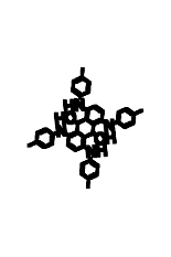 Cc1ccc(Nc2ccc(Nc3ccc(C)cc3)c3c2C(=O)c2c(Nc4ccc(C)cc4)ccc(Nc4ccc(C)cc4)c2C3=O)cc1